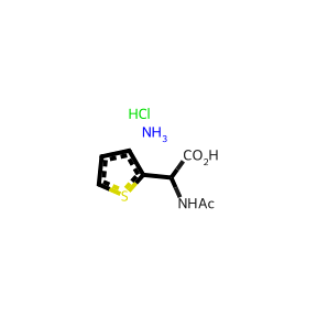 CC(=O)NC(C(=O)O)c1cccs1.Cl.N